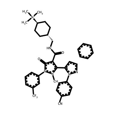 Cn1c(-c2ccnn2-c2ccc(C#N)cc2)c(C(=O)NC[C@H]2CC[C@H]([N+](C)(C)C)CC2)c(=O)n1-c1cccc(C(F)(F)F)c1.c1ccccc1